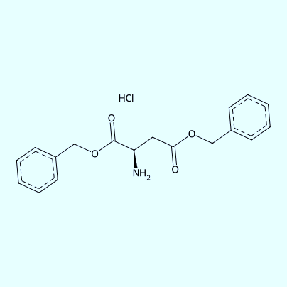 Cl.N[C@H](CC(=O)OCc1ccccc1)C(=O)OCc1ccccc1